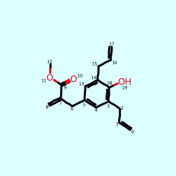 C=CCc1cc(CC(=C)C(=O)OC)cc(CC=C)c1O